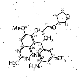 COc1cc2nc(C)nc(N)c2c([C@H](C)c2cc(N)cc(C(F)(F)F)c2)c1OCCO[C@H]1CCOC1